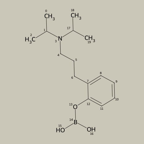 CC(C)N(CCCc1ccccc1OB(O)O)C(C)C